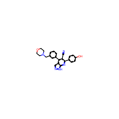 N#Cc1c(-c2ccc(O)cc2)nc2[nH]ncc2c1-c1cccc(CN2CCOCC2)c1